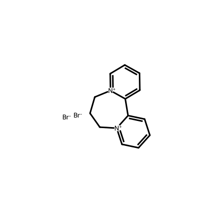 [Br-].[Br-].c1cc[n+]2c(c1)-c1cccc[n+]1CCC2